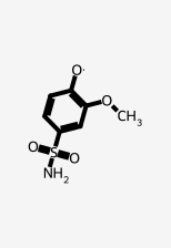 COc1cc(S(N)(=O)=O)ccc1[O]